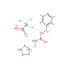 O=C(NC[C@@H]1CCNC1)OCc1ccccc1.O=C(O)C(F)(F)F